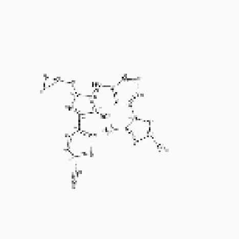 Cc1cc(C)n(-c2cc(Nc3c(Cl)c(-c4ccc(C#N)cc4)nn3CC3CC3)ncn2)n1